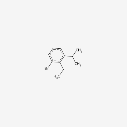 CCc1c(Br)cccc1C(C)C